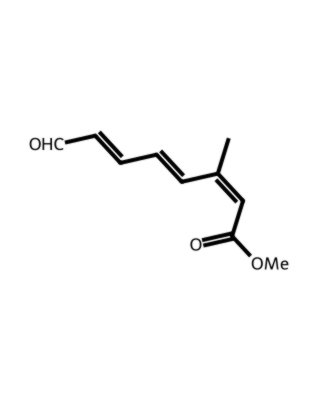 COC(=O)C=C(C)C=CC=CC=O